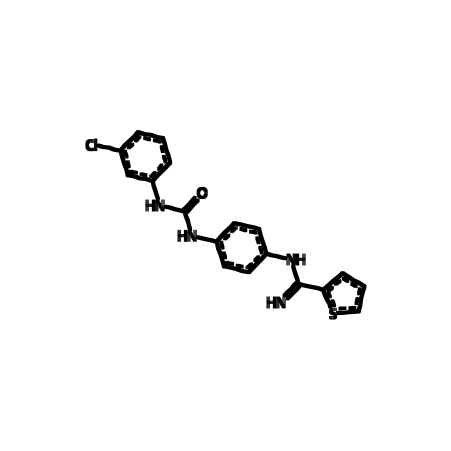 N=C(Nc1ccc(NC(=O)Nc2cccc(Cl)c2)cc1)c1cccs1